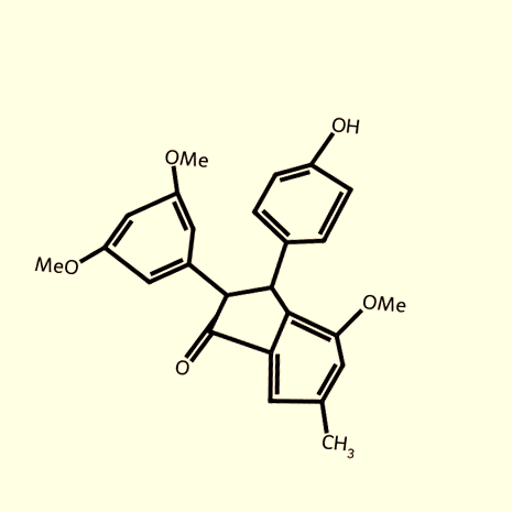 COc1cc(OC)cc(C2C(=O)c3cc(C)cc(OC)c3C2c2ccc(O)cc2)c1